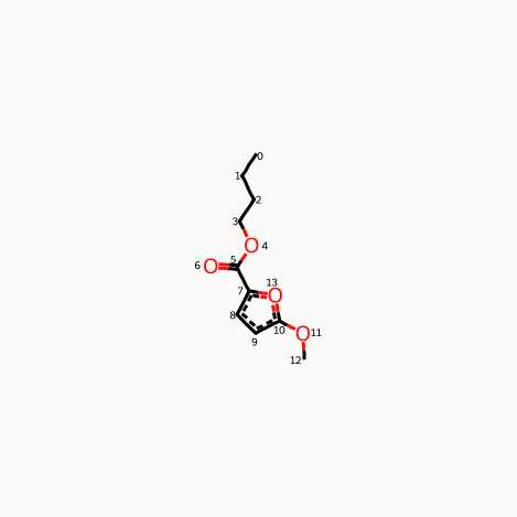 CCCCOC(=O)c1ccc(OC)o1